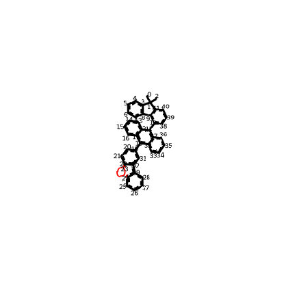 CC1(C)c2ccccc2-c2c(-c3c4ccccc4c(-c4ccc5oc6ccccc6c5c4)c4ccccc34)cccc21